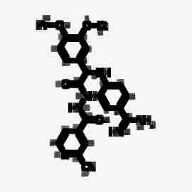 CCOc1cc(C(Nc2ccc(C(=N)N)cc2)C(=O)NNC(=O)c2ccnc(C#N)c2)ccc1OC(C)C